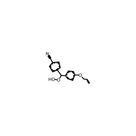 C=CCOc1ccc(C(OO)c2ccc(C#N)cc2)cc1